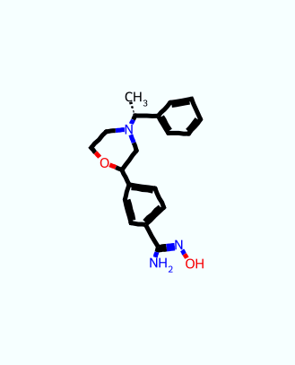 C[C@H](c1ccccc1)N1CCOC(c2ccc(C(N)=NO)cc2)C1